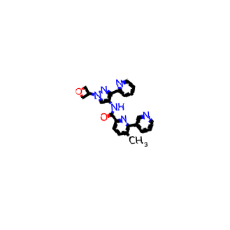 Cc1ccc(C(=O)Nc2cn(C3COC3)nc2-c2ccccn2)nc1-c1cccnc1